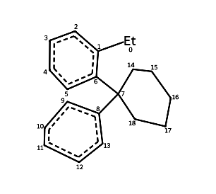 CCc1ccccc1C1(c2ccccc2)CCCCC1